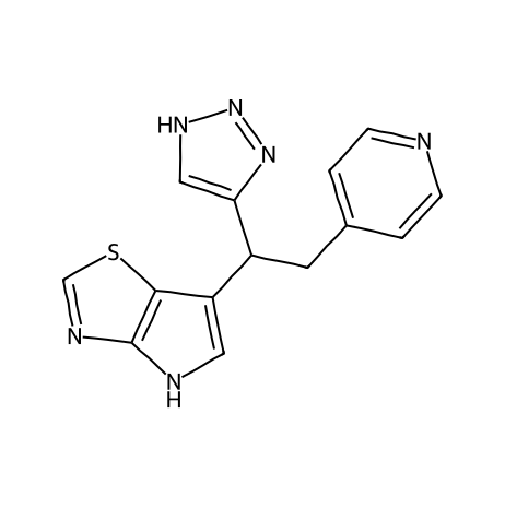 c1cc(CC(c2c[nH]nn2)c2c[nH]c3ncsc23)ccn1